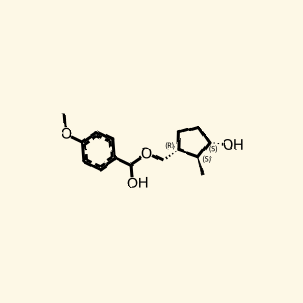 COc1ccc(C(O)OC[C@@H]2CC[C@H](O)[C@H]2C)cc1